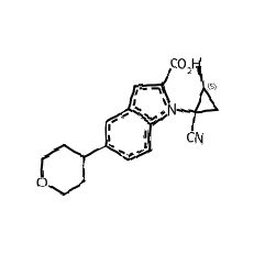 C[C@H]1CC1(C#N)n1c(C(=O)O)cc2cc(C3CCOCC3)ccc21